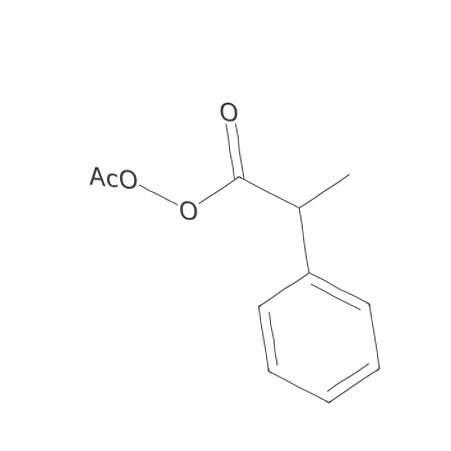 CC(=O)OOC(=O)C(C)c1ccccc1